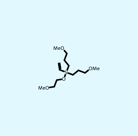 C=C[Si](CCCOC)(CCCOC)OCCOC